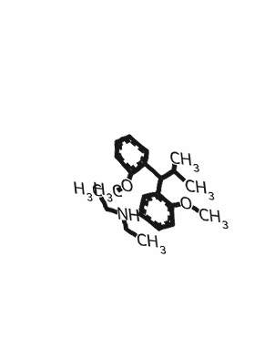 CCNCC.COc1ccccc1C(c1ccccc1OC)C(C)C